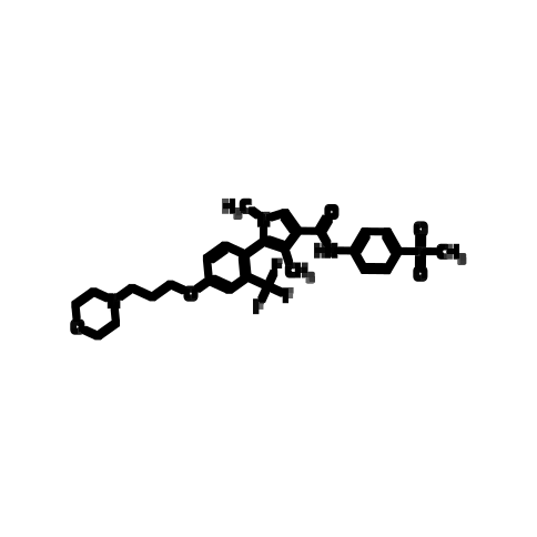 Cc1c(C(=O)Nc2ccc(S(C)(=O)=O)cc2)cn(C)c1-c1ccc(OCCCN2CCOCC2)cc1C(F)(F)F